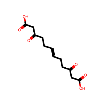 O=C(O)CC(=O)CC/C=C/CCC(=O)CC(=O)O